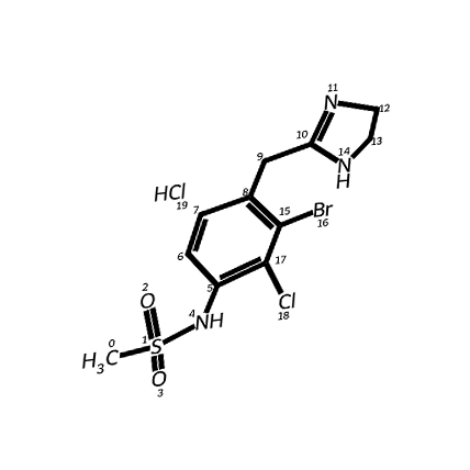 CS(=O)(=O)Nc1ccc(CC2=NCCN2)c(Br)c1Cl.Cl